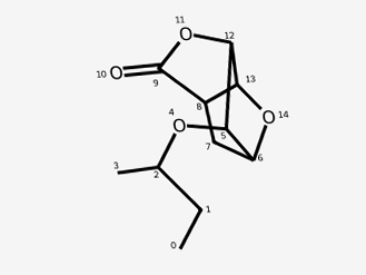 CCC(C)OC1C2CC3C(=O)OC1C3O2